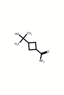 CC(C)(O)C1CC(C(N)=O)C1